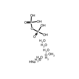 O.O.O.O.O.O.O.O=P(O)(O)OP(=O)(O)O.[NaH]